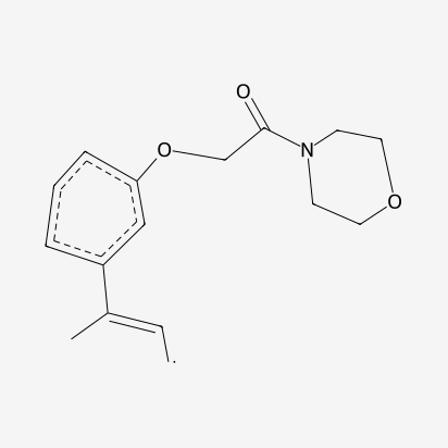 [CH2]C=C(C)c1cccc(OCC(=O)N2CCOCC2)c1